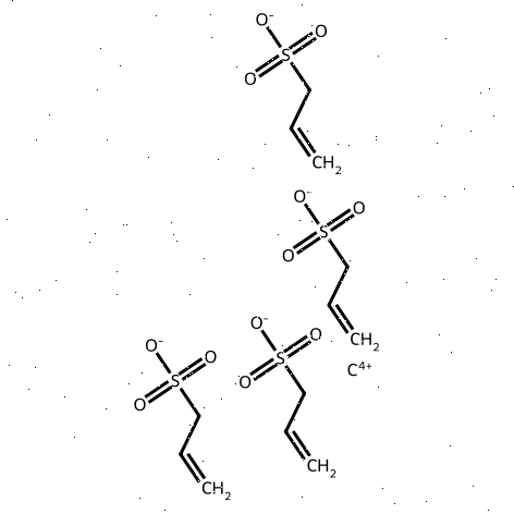 C=CCS(=O)(=O)[O-].C=CCS(=O)(=O)[O-].C=CCS(=O)(=O)[O-].C=CCS(=O)(=O)[O-].[C+4]